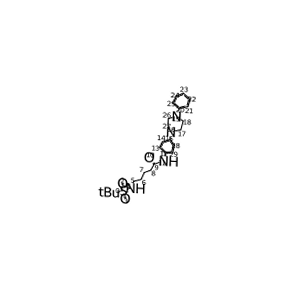 CC(C)(C)S(=O)(=O)NCCCCC(=O)Nc1ccc(N2CCN(c3ccccc3)CC2)cc1